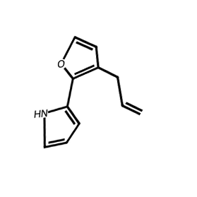 C=CCc1ccoc1-c1ccc[nH]1